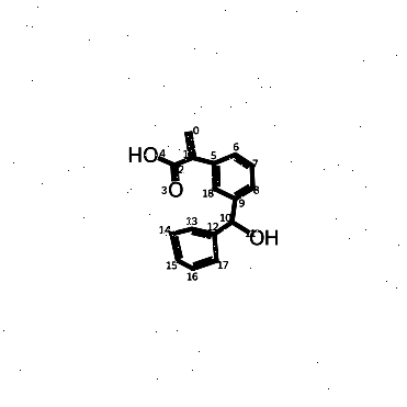 C=C(C(=O)O)c1cccc(C(O)c2ccccc2)c1